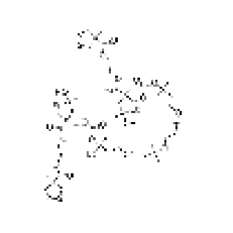 CCC(C)(O)CC(C)(COC(=O)OC(C)(C)CCOC(C)(C)CCOC(C)(C)CCOCCC(C)(CC)OC(=O)OCC(C)(CC(C)(O)CC)C(=O)OCCOC(=O)C1(C)CSSC1)C(=O)OCCOC(=O)C1(C)CSSC1